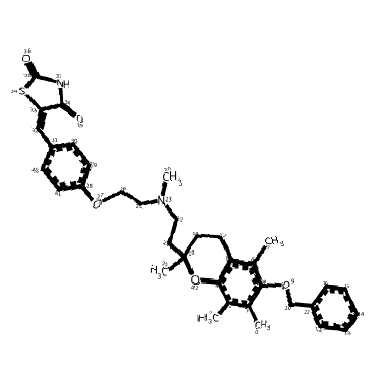 Cc1c(C)c2c(c(C)c1OCc1ccccc1)CCC(C)(CCN(C)CCOc1ccc(C=C3SC(=O)NC3=O)cc1)O2